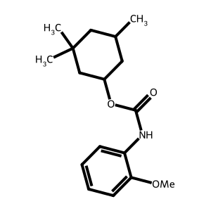 COc1ccccc1NC(=O)OC1CC(C)CC(C)(C)C1